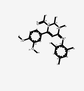 COc1ccc(C2=CC(=Nc3c(C)cc(C)cc3C)N(C)C(C)N2C(C)=O)cc1OC